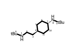 CC(C)(C)NCC[C@H]1CC[C@H](NC(C)(C)C)CC1